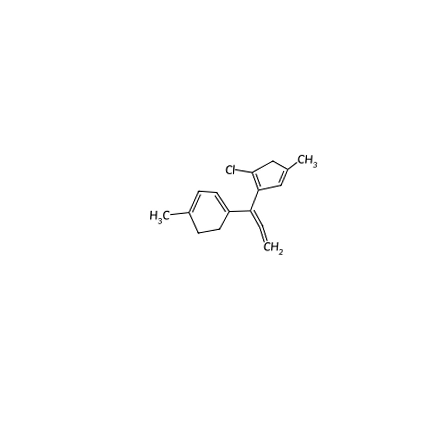 C=C=C(C1=CC=C(C)CC1)C1=C(Cl)CC(C)=C1